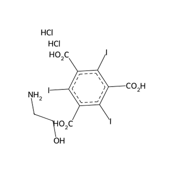 Cl.Cl.NCCO.O=C(O)c1c(I)c(C(=O)O)c(I)c(C(=O)O)c1I